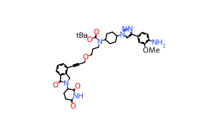 COc1cc(-c2cn(C3CCC(N(CCCOCC#Cc4cccc5c4CN(C4CCC(=O)NC4=O)C5=O)C(=O)OC(C)(C)C)CC3)nn2)ccc1N